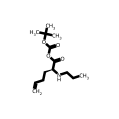 C=CCC[C@H](NCCC)C(=O)OC(=O)OC(C)(C)C